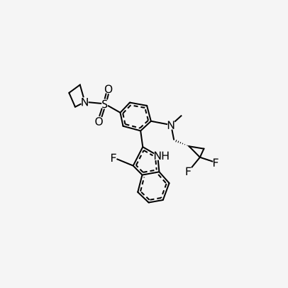 CN(C[C@@H]1CC1(F)F)c1ccc(S(=O)(=O)N2CCC2)cc1-c1[nH]c2ccccc2c1F